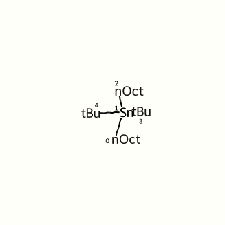 CCCCCCC[CH2][Sn]([CH2]CCCCCCC)([C](C)(C)C)[C](C)(C)C